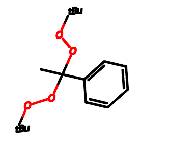 CC(C)(C)OOC(C)(OOC(C)(C)C)c1ccccc1